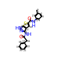 Cc1cccc(NC(=O)c2cc3c(NC(=O)Cc4ccccc4)n[nH]c3s2)c1